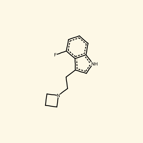 Fc1cccc2[nH]cc(CCN3CCC3)c12